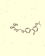 CC(C)Oc1ccc(F)c(-c2ccc(OCC3C[C@H]3C(=O)O)cc2)c1